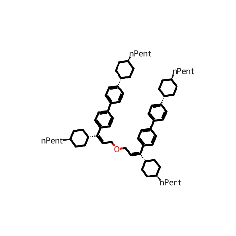 CCCCC[C@H]1CC[C@H](C(=CCOCC=C(c2ccc(-c3ccc([C@H]4CC[C@H](CCCCC)CC4)cc3)cc2)[C@H]2CC[C@H](CCCCC)CC2)c2ccc(-c3ccc([C@H]4CC[C@H](CCCCC)CC4)cc3)cc2)CC1